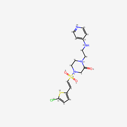 O=C1CN(S(=O)(=O)C=Cc2ccc(Cl)s2)CCN1CCNc1ccncc1